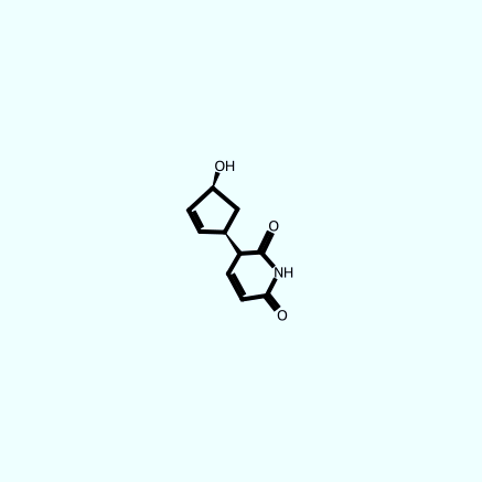 O=C1C=CC([C@H]2C=C[C@@H](O)C2)C(=O)N1